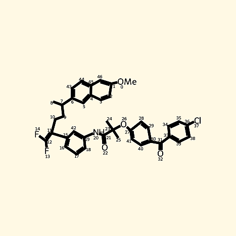 COc1ccc2cc(C(C)CCC(=C(F)F)c3cccc(NC(=O)C(C)(C)Oc4ccc(C(=O)c5ccc(Cl)cc5)cc4)c3)ccc2c1